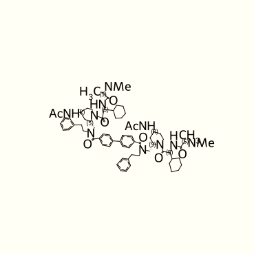 CN[C@@H](C)C(=O)N[C@H](C(=O)N1CC[C@@H](NC(C)=O)C[C@H]1CN(CCc1ccccc1)C(=O)c1ccc(-c2ccc(C(=O)N(CCc3ccccc3)C[C@@H]3C[C@H](NC(C)=O)CCN3C(=O)[C@@H](NC(=O)[C@H](C)NC)C3CCCCC3)cc2)cc1)C1CCCCC1